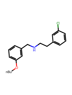 CCCCOc1cccc(CNCCc2cccc(Cl)c2)c1